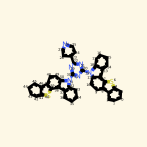 c1ccc2c(c1)sc1c2ccc2c1c1ccccc1n2-c1nc(-c2ccncc2)nc(-n2c3ccccc3c3c4sc5ccccc5c4ccc32)n1